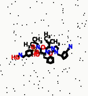 CC[C@H](C)[C@@H](C(=O)N[C@@H](Cc1ccccc1)[C@@H](O)CN(CC(C)C)S(=O)(=O)c1ccc(C=NO)cc1)N1CCN(Cc2cccc(C#N)c2)C1=O